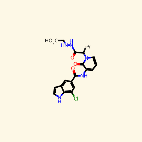 CC(C)C(C(=O)NNCC(=O)O)n1cccc(NC(=O)c2cc(Cl)c3[nH]ccc3c2)c1=O